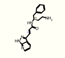 NCC[C@H](Cc1ccccc1)NC(=O)/C=C/c1n[nH]c2ncccc12